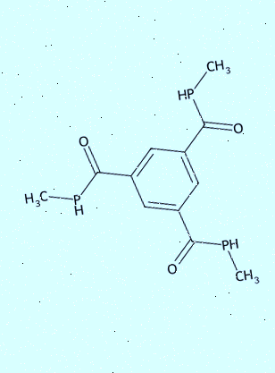 CPC(=O)c1cc(C(=O)PC)cc(C(=O)PC)c1